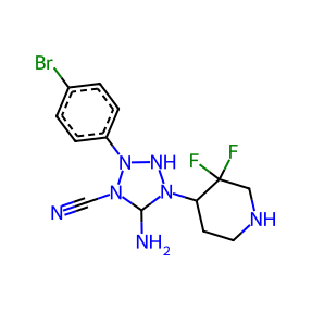 N#CN1C(N)N(C2CCNCC2(F)F)NN1c1ccc(Br)cc1